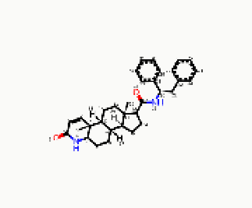 C[C@]12C=CC(=O)NC1CC[C@@H]1[C@H]2CC[C@]2(C)C(C(=O)N[C@H](Cc3ccccc3)c3ccccc3)CC[C@@H]12